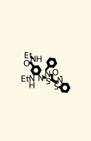 CCNC(=O)c1ccc(N=C2S/C(=C3\Sc4ccccc4N3C)C(=O)N2Cc2ccccc2)c(NCC)c1